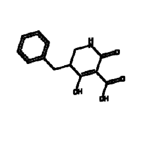 O=C(O)C1=C(O)C(Cc2ccccc2)CNC1=O